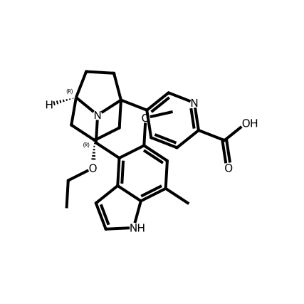 CCO[C@@H]1C[C@H]2CCC(c3ccc(C(=O)O)nc3)(C1)N2Cc1c(OC)cc(C)c2[nH]ccc12